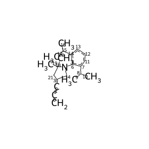 C=C=C=C1CN(c2c(C(C)C)cccc2C(C)C)C(C)(C)C1